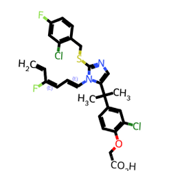 C=C/C(F)=C\C=C\n1c(C(C)(C)c2ccc(OCC(=O)O)c(Cl)c2)cnc1SCc1ccc(F)cc1Cl